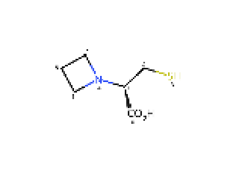 O=C(O)[C@H](CS)N1CCC1